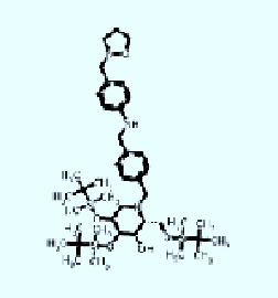 CC(C)(C)[Si](C)(C)OC[C@@H]1[C@@H](O)C(O[Si](C)(C)C(C)(C)C)C(O[Si](C)(C)C(C)(C)C)CN1Cc1ccc(CNc2ccc(CN3CCCO3)cc2)cc1